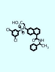 CC(NC(=O)c1cccc2cc(N(CC(=O)O)S(=O)(=O)c3cc(Cl)cc(Cl)c3)ccc12)c1ccccc1